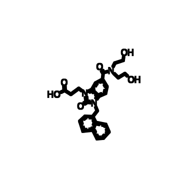 O=C(O)CCn1c(=O)n(Cc2cccc3ccccc23)c2ccc(C(=O)N(CCO)CCO)cc21